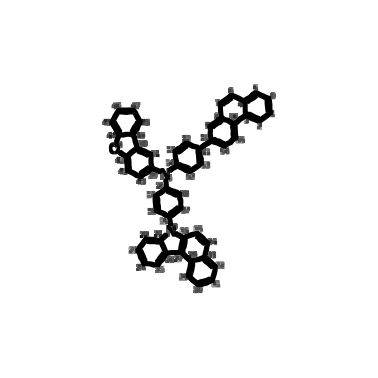 c1ccc2c(c1)ccc1cc(-c3ccc(N(c4ccc(-n5c6ccccc6c6c7ccccc7ccc65)cc4)c4ccc5oc6ccccc6c5c4)cc3)ccc12